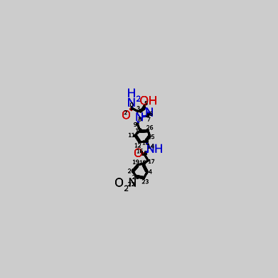 NC(=O)c1c(O)ncn1Cc1ccc(NC(=O)Cc2ccc([N+](=O)[O-])cc2)cc1